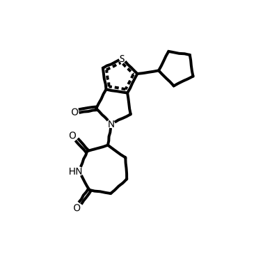 O=C1CCCC(N2Cc3c(csc3C3CCCC3)C2=O)C(=O)N1